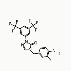 Cc1cc(Cn2cnn(-c3cc(C(F)(F)F)cc(C(F)(F)F)c3)c2=O)ccc1N